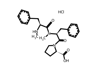 CN[C@@H](Cc1ccccc1)C(=O)N(C)[C@@H](Cc1ccccc1)C(=O)N1CCC[C@H]1C(=O)O.Cl